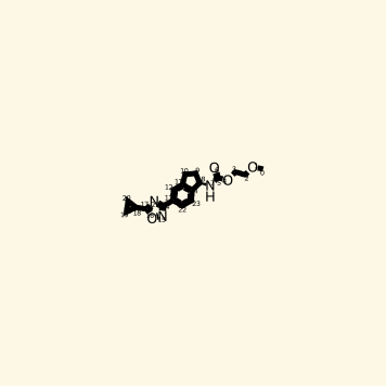 COCCOC(=O)N[C@@H]1CCc2cc(-c3noc(C4CC4)n3)ccc21